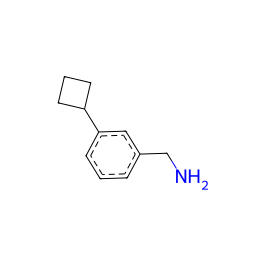 NCc1cccc(C2CCC2)c1